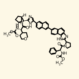 COC(=O)N[C@H](C(=O)N1[C@@H]2CC[C@@H](C2)[C@H]1c1ncc(-c2ccc3cc(-c4ccc5c(ccc6nc(C7CCCN7C(=O)[C@H](NC(=O)OC)c7ccccc7)[nH]c65)c4)ccc3c2)[nH]1)C1CCOCC1